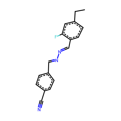 CCc1ccc(C=NN=Cc2ccc(C#N)cc2)c(F)c1